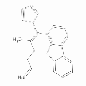 C=CCC[C](C)=[Hf]([c]1cccc2c1Cc1ccccc1-2)[CH]1C=CC=C1